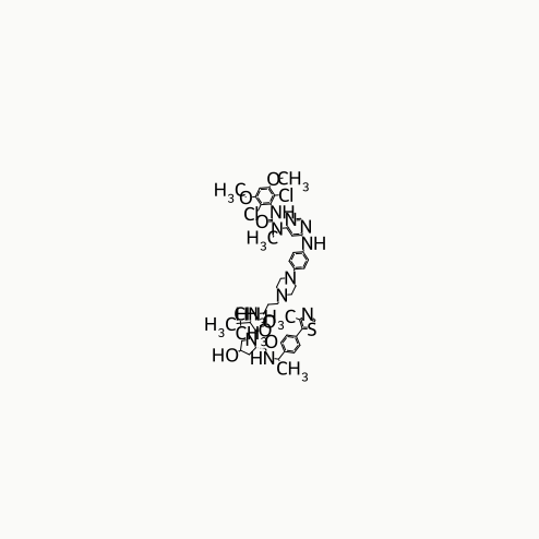 COc1cc(OC)c(Cl)c(NC(=O)N(C)c2cc(Nc3ccc(N4CCN(CCC(=O)N[C@H](C(=O)N5C[C@H](O)C[C@H]5C(=O)N[C@@H](C)c5ccc(-c6scnc6C)cc5)C(C)(C)C)CC4)cc3)ncn2)c1Cl